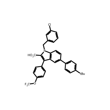 CC(C)(C)c1ccc(-c2ccc3c(c2)c(-c2ccc(OC(F)(F)F)cc2)c(C(=O)O)n3Cc2cccc(Cl)c2)cc1